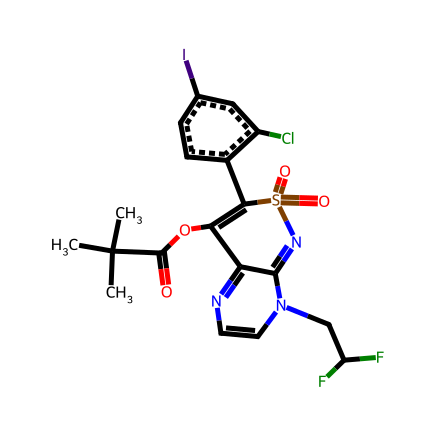 CC(C)(C)C(=O)OC1=C(c2ccc(I)cc2Cl)S(=O)(=O)N=C2C1=NC=CN2CC(F)F